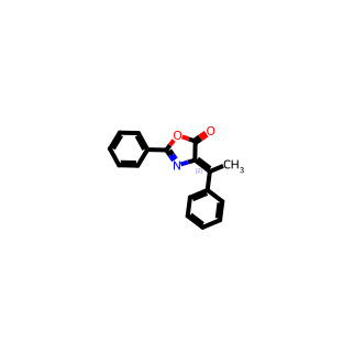 C/C(=C1/N=C(c2ccccc2)OC1=O)c1ccccc1